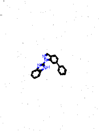 c1ccc(-c2ccc3cnn(-c4nc5ccccc5[nH]4)c3c2)cc1